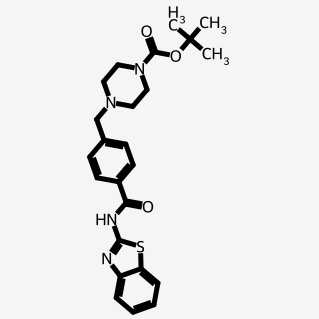 CC(C)(C)OC(=O)N1CCN(Cc2ccc(C(=O)Nc3nc4ccccc4s3)cc2)CC1